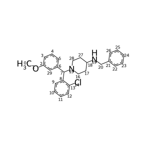 COc1cccc(C(c2ccccc2Cl)N2CCC(NCc3ccccc3)CC2)c1